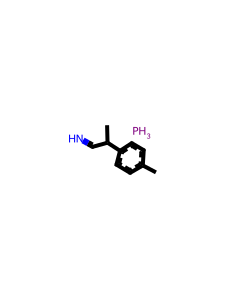 Cc1ccc(C(C)C=N)cc1.P